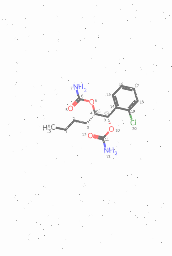 CCCC[C@H](OC(N)=O)[C@@H](OC(N)=O)c1ccccc1Cl